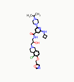 CC(C)N1CCN(c2cc(C(=O)NCC(O)CN3CCc4c(ccc(OCc5cnco5)c4Cl)C3)cc(NC3CCC3)n2)CC1